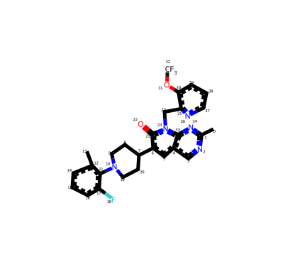 Cc1ncc2cc(C3CCN(c4c(C)cccc4F)CC3)c(=O)n(Cc3ncccc3OC(F)(F)F)c2n1